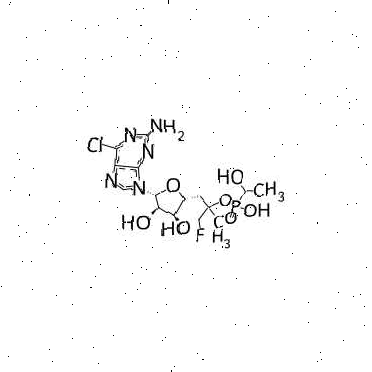 CC(O)P(=O)(O)OC(C)(CF)C[C@H]1O[C@@H](n2cnc3c(Cl)nc(N)nc32)[C@H](O)[C@@H]1O